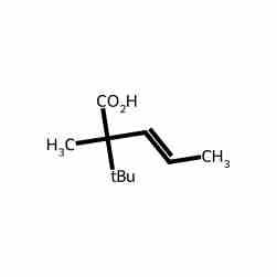 CC=CC(C)(C(=O)O)C(C)(C)C